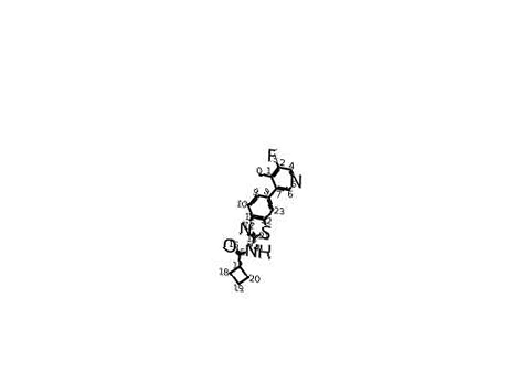 Cc1c(F)cncc1-c1ccc2nc(NC(=O)C3CCC3)sc2c1